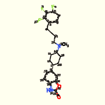 CN(CCCc1ccc(F)c(F)c1F)C1CCC(c2ccc3[nH]c(=O)oc3c2)CC1